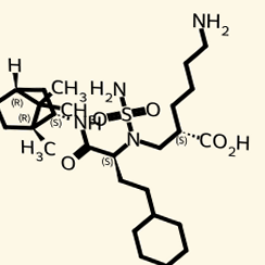 CC1(C)[C@@H]2CC[C@@]1(C)[C@@H](NC(=O)[C@H](CCC1CCCCC1)N(C[C@H](CCCCN)C(=O)O)S(N)(=O)=O)C2